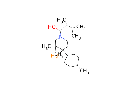 CC1CCC(C2(P)CCN(C(O)[C@H](C)C(C)C)CC2(C)C)CC1